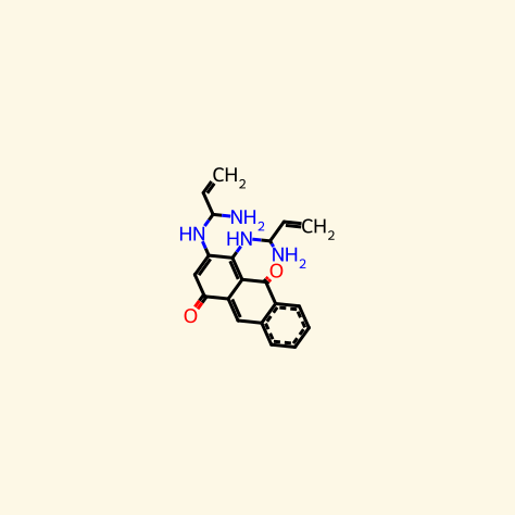 C=CC(N)NC1=CC(=O)C2=Cc3ccccc3C(=O)C2=C1NC(N)C=C